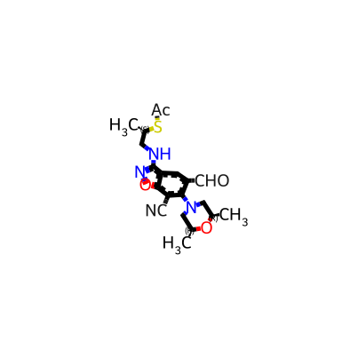 CC(=O)S[C@@H](C)CNc1noc2c(C#N)c(N3C[C@@H](C)O[C@H](C)C3)c(C=O)cc12